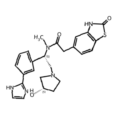 CN(C(=O)Cc1ccc2sc(=O)[nH]c2c1)[C@H](CN1CC[C@H](O)C1)c1cccc(-c2ncc[nH]2)c1